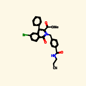 COC(=O)c1c(-c2ccccc2)c2cc(Br)ccc2c(=O)n1Cc1ccc(C(=O)NCCC#N)cc1